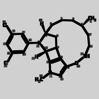 C[C@H]1CCC[C@H]2CC3c4c(nn(C)c4[C@@H]3N2c2cc(Cl)cc(Cl)c2)ONCC1